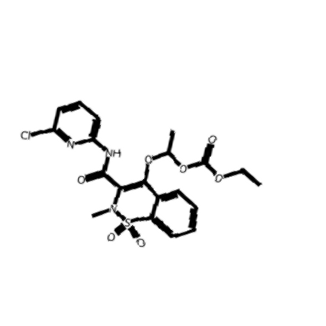 CCOC(=O)OC(C)OC1=C(C(=O)Nc2cccc(Cl)n2)N(C)S(=O)(=O)c2ccccc21